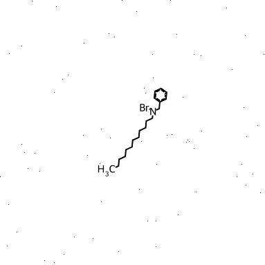 CCCCCCCCCCCCN(Br)Cc1ccccc1